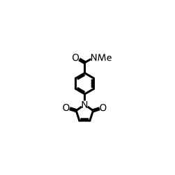 CNC(=O)c1ccc(N2C(=O)C=CC2=O)cc1